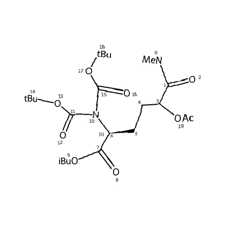 CNC(=O)C(CC[C@@H](C(=O)OCC(C)C)N(C(=O)OC(C)(C)C)C(=O)OC(C)(C)C)OC(C)=O